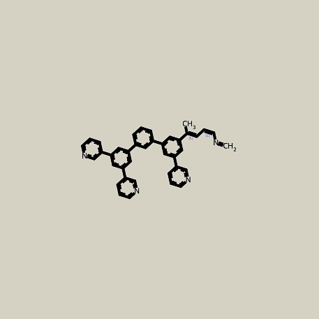 C=N/C=C\C=C(/C)c1cc(-c2cccnc2)cc(-c2cccc(-c3cc(-c4cccnc4)cc(-c4cccnc4)c3)c2)c1